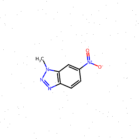 Cn1nnc2ccc([N+](=O)[O-])cc21